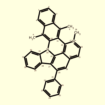 Cc1c2ccccc2c(C)c2c1c1c3c(cc[n+]1C)cc(-c1ccccc1)c1c4ccccc4n2c13